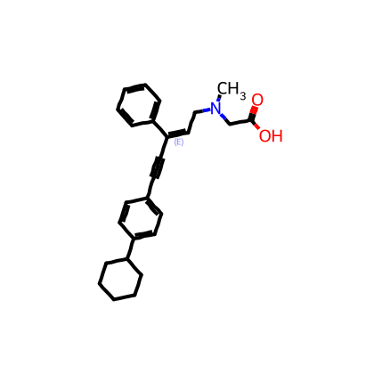 CN(C/C=C(/C#Cc1ccc(C2CCCCC2)cc1)c1ccccc1)CC(=O)O